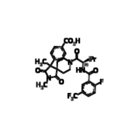 CC(C)[C@@H](NC(=O)c1cc(C(F)(F)F)ccc1F)C(=O)N1CCC2(CC1)C(=O)N(C)C(=O)C2(C)c1ccc(C(=O)O)cc1